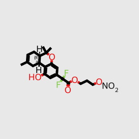 CC1=CC[C@@H]2[C@@H](C1)c1c(O)cc(C(F)(F)C(=O)OCCCO[N+](=O)[O-])cc1OC2(C)C